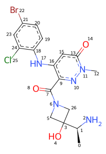 C[C@H](N)C1(O)CN(C(=O)c2nn(C)c(=O)cc2Nc2ccc(Br)cc2Cl)C1